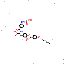 CCCCCCCOc1ccc(C(=O)Oc2ccc(CC(NC(=O)c3ccc(NC(=O)CO)cc3)C(=O)O)cc2OC)cc1